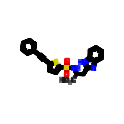 O=C(O)[C@H](Cc1nc2ccccc2[nH]1)NS(=O)(=O)c1ccc(C#Cc2ccccc2)s1